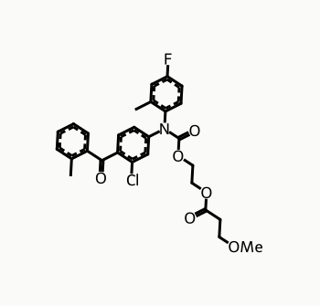 COCCC(=O)OCCOC(=O)N(c1ccc(C(=O)c2ccccc2C)c(Cl)c1)c1ccc(F)cc1C